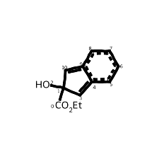 CCOC(=O)C1(O)C=c2ccccc2=C1